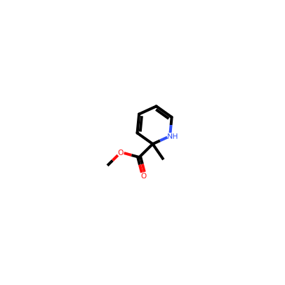 COC(=O)C1(C)C=CC=CN1